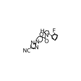 N#Cc1cnc(N2CCC3(CC2)O[C@@H]2CC[C@@H](c4ccccc4F)N2C3=O)nc1